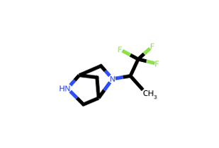 CC(N1CC2CC1CN2)C(F)(F)F